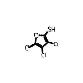 Sc1oc(Cl)c(Cl)c1Cl